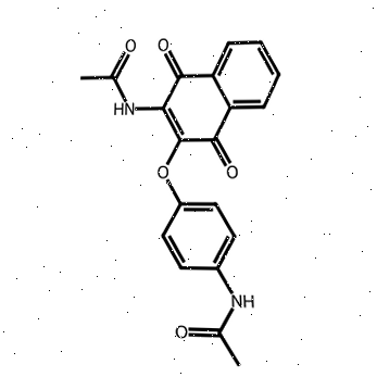 CC(=O)NC1=C(Oc2ccc(NC(C)=O)cc2)C(=O)c2ccccc2C1=O